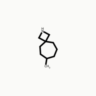 CC1CCCC2(CC1)CNC2